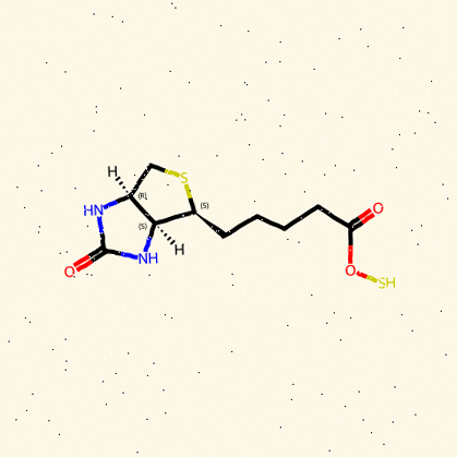 O=C1N[C@H]2[C@H](CS[C@H]2CCCCC(=O)OS)N1